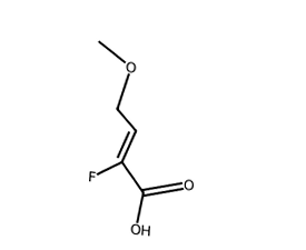 COC/C=C(\F)C(=O)O